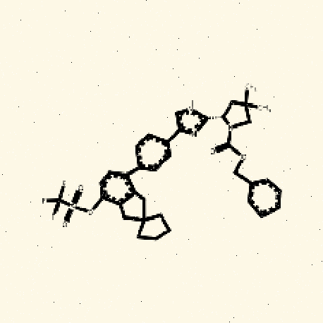 CC1(C)C[C@@H](c2nc(-c3ccc(-c4ccc(OS(=O)(=O)C(F)(F)F)c5c4CC4(CCCC4)C5)cc3)c[nH]2)N(C(=O)OCc2ccccc2)C1